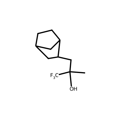 CC(O)(CC1CC2CCC1C2)C(F)(F)F